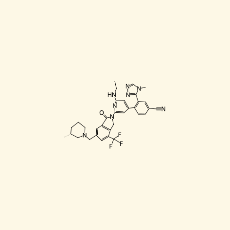 CCNc1cc(-c2ccc(C#N)cc2-c2nncn2C)cc(N2Cc3c(cc(CN4CCC[C@@H](C)C4)cc3C(F)(F)F)C2=O)n1